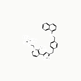 Nc1c(-c2cc(Cc3ccc(COc4cccc5ccccc45)cc3)no2)ccc[n+]1COP(=O)(O)O